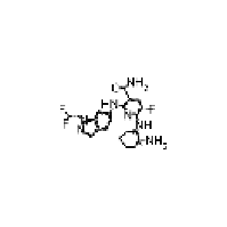 NC(=O)c1cc(F)c(N[C@H]2CCCC[C@H]2N)nc1Nc1ccc2cnn(CC(F)F)c2c1